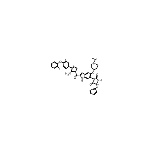 Cc1cc(-n2ncc(C(=O)c3cc4cc(OC5CCN(C(C)C)CC5)c(N5C(=O)N[C@@H](Cc6ccccc6)C5=O)cc4[nH]3)c2N)ccc1Oc1ccccc1F